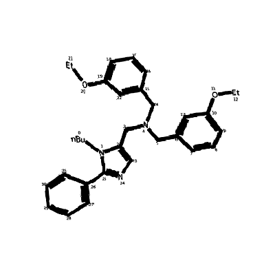 CCCCn1c(CN(Cc2cccc(OCC)c2)Cc2cccc(OCC)c2)cnc1-c1ccccc1